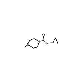 CN1CCN(C(=O)NC2CC2)CC1